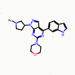 CC(=O)N1CCC(n2ncc3c(-c4ccc5cc[nH]c5c4)nc(N4CCOCC4)nc32)C1